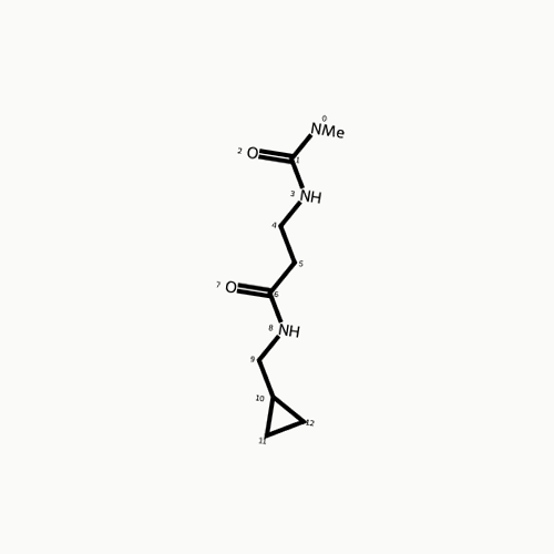 CNC(=O)NCCC(=O)NCC1CC1